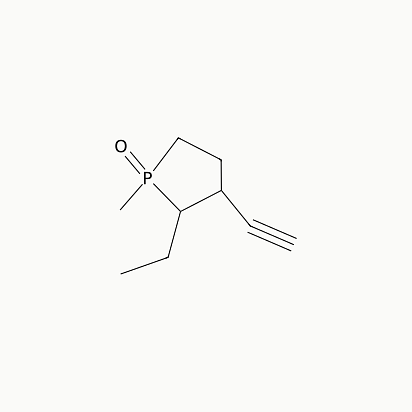 C#CC1CCP(C)(=O)C1CC